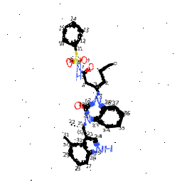 CCCC(CC(=O)NS(=O)(=O)c1ccccc1)n1c(=O)n([C@@H](C)c2c[nH]c3cccc(C)c23)c2ccccc21